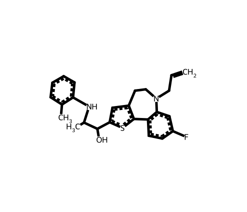 C=CCN1CCc2cc(C(O)C(C)Nc3ccccc3C)sc2-c2ccc(F)cc21